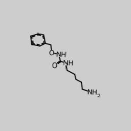 NCCCCCNC(=O)NOCc1ccccc1